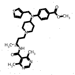 COC(=O)c1ccc(N(Cc2ccsc2)C2CCN(CC[C@@H](C)NC(=O)c3c(C)ncnc3C)CC2)cc1